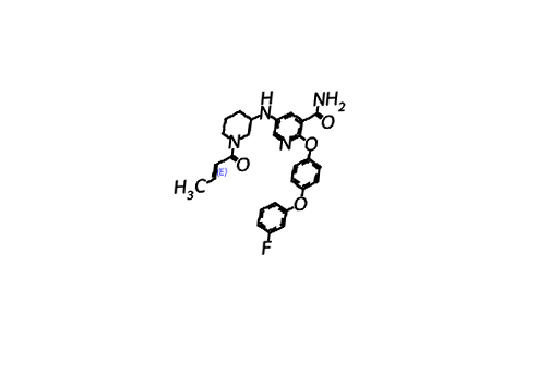 C/C=C/C(=O)N1CCCC(Nc2cnc(Oc3ccc(Oc4cccc(F)c4)cc3)c(C(N)=O)c2)C1